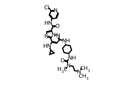 CN(C)CCN(C)C(=O)N[C@H]1CC[C@H](Nc2cc(NC3CC3)c3ncc(C(=O)Nc4ccnc(Cl)c4)n3n2)CC1